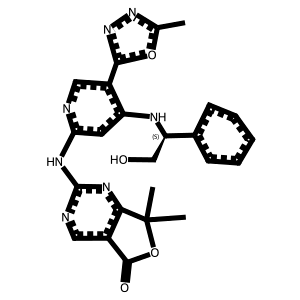 Cc1nnc(-c2cnc(Nc3ncc4c(n3)C(C)(C)OC4=O)cc2N[C@H](CO)c2ccccc2)o1